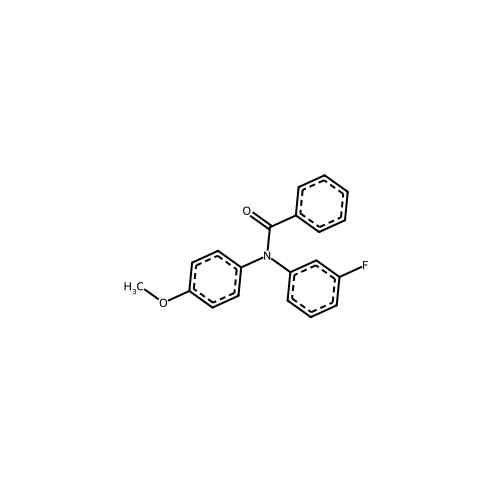 COc1ccc(N(C(=O)c2ccccc2)c2cccc(F)c2)cc1